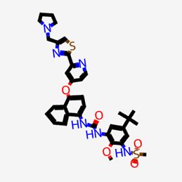 COc1c(NC(=O)Nc2ccc(Oc3ccnc(-c4nc(CN5CCCC5)cs4)c3)c3ccccc23)cc(C(C)(C)C)cc1NS(C)(=O)=O